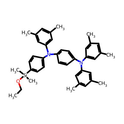 CCO[Si](C)(C)c1ccc(N(c2ccc(N(c3cc(C)cc(C)c3)c3cc(C)cc(C)c3)cc2)c2cc(C)cc(C)c2)cc1